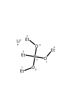 CCO[B-](CC)(OCC)OCC.[Li+]